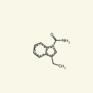 [CH2]Cc1cn(C(N)=O)c2ccccc12